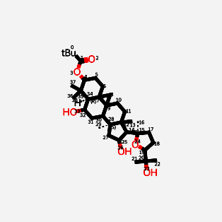 CC(C)(C)C(=O)OC1CCC23CC24CCC2(C)C([C@@]5(C)CCC(C(C)(C)O)O5)C(O)C[C@@]2(C)C4CC(O)[C@H]3C1(C)C